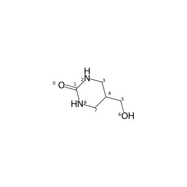 O=C1NCC(CO)CN1